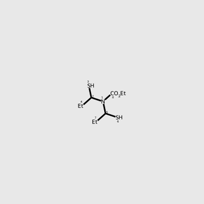 CCOC(=O)N(C(S)CC)C(S)CC